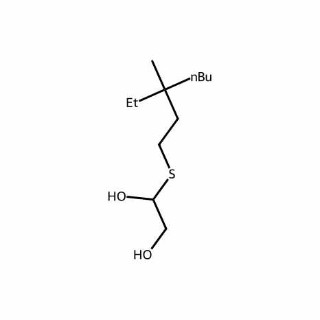 CCCCC(C)(CC)CCSC(O)CO